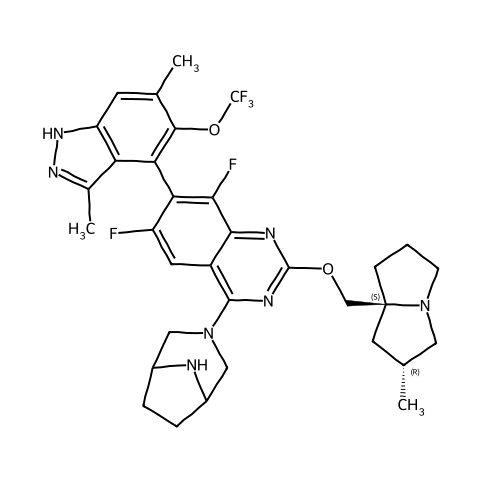 Cc1cc2[nH]nc(C)c2c(-c2c(F)cc3c(N4CC5CCC(C4)N5)nc(OC[C@@]45CCCN4C[C@H](C)C5)nc3c2F)c1OC(F)(F)F